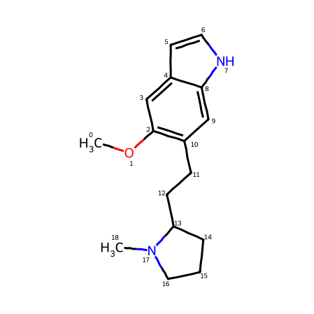 COc1cc2cc[nH]c2cc1CCC1CCCN1C